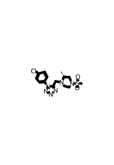 C[C@@H]1CN(S(C)(=O)=O)CCN1Cc1nnnn1-c1ccc(Cl)cc1